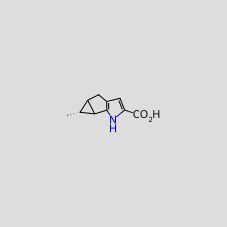 C[C@@H]1C2Cc3cc(C(=O)O)[nH]c3C21